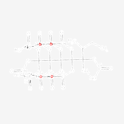 CCC(C)C(C)(O[PH](=O)O)C(O[PH](=O)O)(O[PH](=O)O)C(O[PH](=O)O)(O[PH](=O)O)C(O[PH](=O)O)(O[PH](=O)O)C(O[PH](=O)O)(O[PH](=O)O)O[PH](=O)O